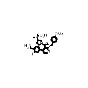 COc1ccc(Cn2nc(N3CC[C@@H](NC(=O)O)C3)c3c(-c4ccc(CN)c(F)c4)ccnc32)cc1